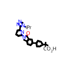 CC(C)n1cnnc1-c1cccc(N2Cc3ccc(-c4ccc(C(C)(C)C(=O)O)cc4)cc3C2=O)n1